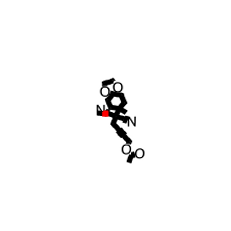 CC[C@@H]1CC2(CCC1(C)C(C#N)(C#N)CC#CCOC(C)=O)OCCO2